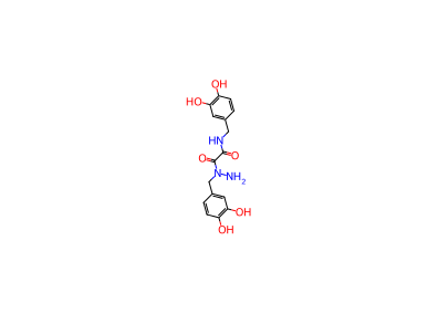 NN(Cc1ccc(O)c(O)c1)C(=O)C(=O)NCc1ccc(O)c(O)c1